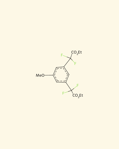 CCOC(=O)C(F)(F)c1cc(OC)cc(C(F)(F)C(=O)OCC)c1